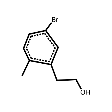 Cc1ccc(Br)cc1CCO